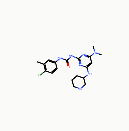 Cc1cc(NC(=O)Nc2nc(NC3CCCNC3)cc(N(C)C)n2)ccc1Cl